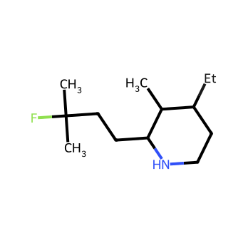 CCC1CCNC(CCC(C)(C)F)C1C